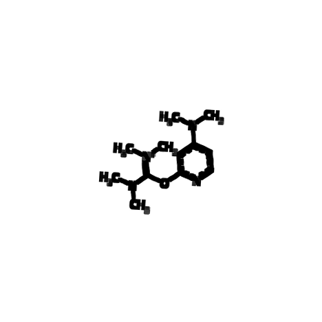 CN(C)C(Oc1cc(N(C)C)ccn1)=[N+](C)C